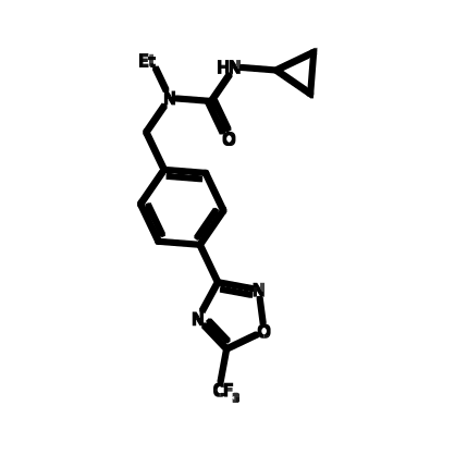 CCN(Cc1ccc(-c2noc(C(F)(F)F)n2)cc1)C(=O)NC1CC1